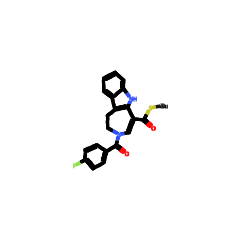 CCC(C)SC(=O)C1=CN(C(=O)c2ccc(F)cc2)CCc2c1[nH]c1ccccc21